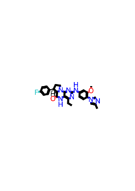 CCc1nc(Nc2ccc(-n3cnc(C)c3)c(OC)c2)nc2c1NC(=O)[C@H]1[C@@H](c3ccc(F)cc3)CCN21